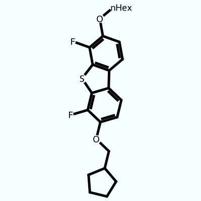 CCCCCCOc1ccc2c(sc3c(F)c(OCC4CCCC4)ccc32)c1F